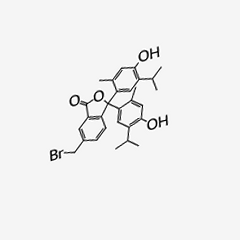 Cc1cc(O)c(C(C)C)cc1C1(c2cc(C(C)C)c(O)cc2C)OC(=O)c2cc(CBr)ccc21